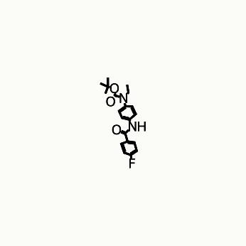 CCN(C(=O)OC(C)(C)C)c1ccc(NC(=O)c2ccc(F)cc2)cc1